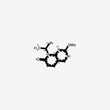 CSc1ncc2ccc(=O)n(C(C)C(C)C)c2n1